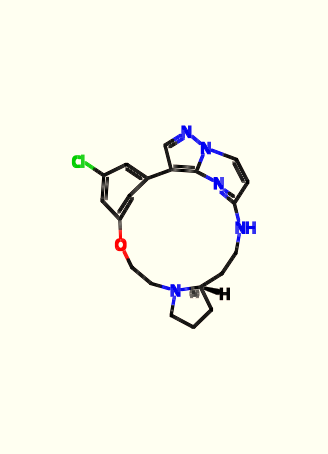 Clc1cc2cc(c1)-c1cnn3ccc(nc13)NCC[C@@H]1CCCN1CCO2